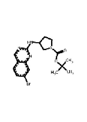 CC(C)(C)OC(=O)N1CCC(Nc2ncc3ccc(Br)cc3n2)C1